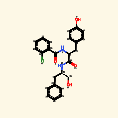 O=C(N[C@@H](Cc1ccc(O)cc1)C(=O)N[C@H](CO)Cc1ccccc1)c1ccccc1Cl